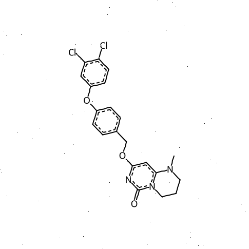 CN1CCCn2c1cc(OCc1ccc(Oc3ccc(Cl)c(Cl)c3)cc1)nc2=O